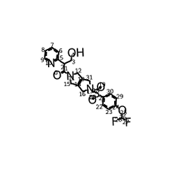 O=C(C(CO)c1ccccn1)N1CC2=C(C1)CN(S(=O)(=O)c1ccc(OC(F)F)cc1)C2